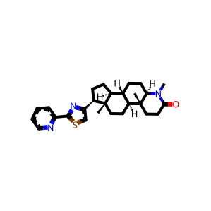 CN1C(=O)CC[C@]2(C)[C@H]3CC[C@]4(C)[C@@H](c5csc(-c6ccccn6)n5)CC[C@H]4[C@@H]3CC[C@@H]12